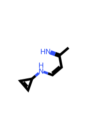 CC(=N)/C=C\NC1C=C1